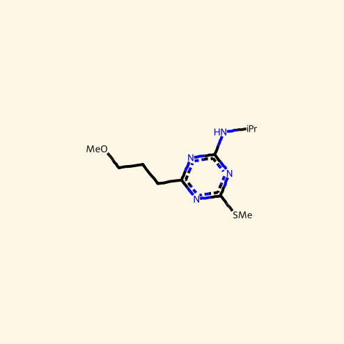 COCCCc1nc(NC(C)C)nc(SC)n1